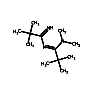 CN(C)/C(=N\C(=N)C(C)(C)C)C(C)(C)C